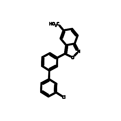 O=C(O)c1ccc2noc(-c3cccc(-c4cccc(Cl)c4)c3)c2c1